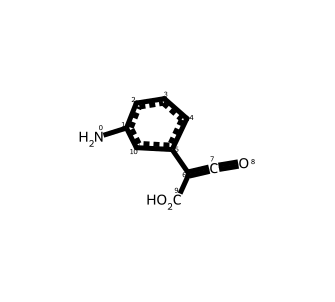 Nc1cccc(C(=C=O)C(=O)O)c1